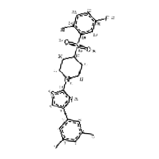 Cc1cc(C)cc(-c2csc(N3CCC(S(=O)(=O)c4cc(F)ccc4C)CC3)n2)c1